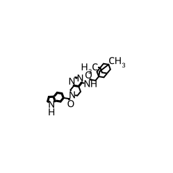 CC12CC3CC(C)(C1)CC(CC(=O)Nc1ncnc4c1CCN(C(=O)c1ccc5cc[nH]c5c1)C4)(C3)C2